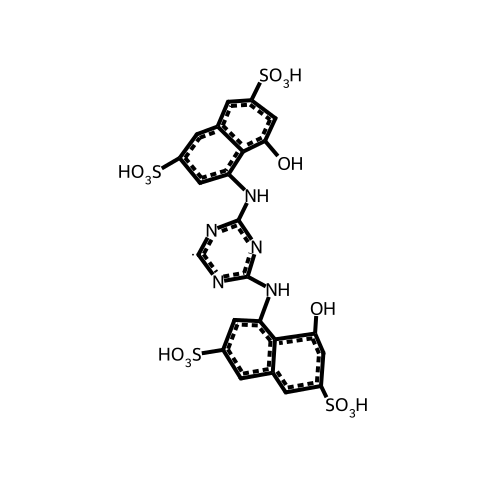 O=S(=O)(O)c1cc(O)c2c(Nc3n[c]nc(Nc4cc(S(=O)(=O)O)cc5cc(S(=O)(=O)O)cc(O)c45)n3)cc(S(=O)(=O)O)cc2c1